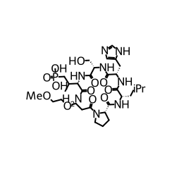 COCCOCCC(=O)N1CCC[C@H]1C(=O)N[C@@H](CC(C)C)C(=O)N[C@@H](Cc1cnc[nH]1)C(=O)N[C@@H](CO)C(=O)N[C@H](C(N)=O)C(C)CP(=O)(O)O